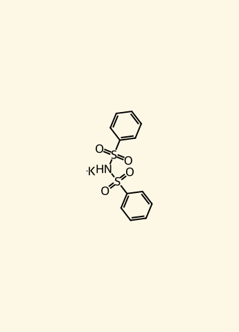 O=S(=O)(NS(=O)(=O)c1ccccc1)c1ccccc1.[K]